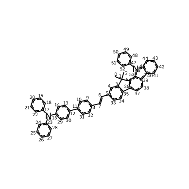 CC1(C)c2cc(/C=C/c3ccc(-c4ccc(N(c5ccccc5)c5ccccc5)cc4)cc3)ccc2-c2ccc3c4ccccc4n(-c4ccccc4)c3c21